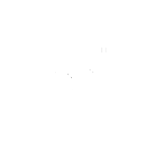 CCN(CC)c1ccccc1C(=O)NC